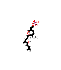 CC(=O)O[C@@H]1CC/C(=C\COP(=O)(O)O)CO[C@@]1(C)CCCC(C)C(=O)CC=C(C)C